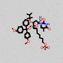 COc1ccc(C(OC[C@@]2(C=CCCCCCOS(C)(=O)=O)O[C@@]([SiH3])(n3cc(C)c(=O)[nH]c3=O)C[C@@H]2OC(C)(C)C(C)C)(c2ccccc2)c2ccc(OC)cc2)cc1